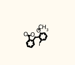 COc1cccc(I)c1C1OC(=O)c2ccccc21